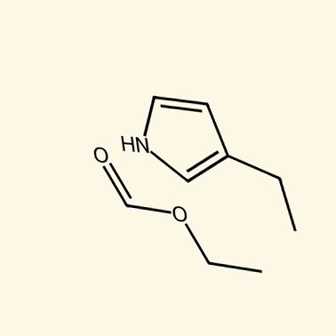 CCOC=O.CCc1cc[nH]c1